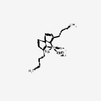 CCCCC1=[C]([Hf]([CH3])([CH3])(=[SiH2])[C]2=C(CCCC)C=CC2)CC=C1.Cl.Cl